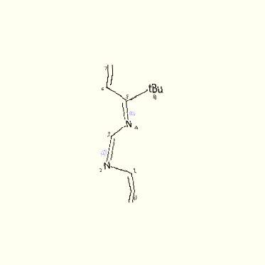 C=C/N=C\N=C(/C=C)C(C)(C)C